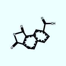 O=C(O)c1ccc2ccc3c(c2c1)C(=O)OC3=O